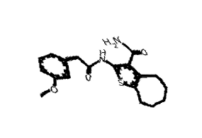 COc1cccc(CC(=O)Nc2sc3c(c2C(N)=O)CCCCC3)c1